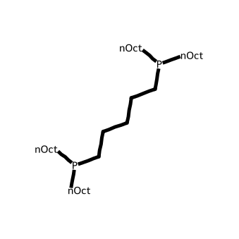 CCCCCCCCP(CCCCCCCC)CCCCCP(CCCCCCCC)CCCCCCCC